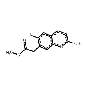 COC(=O)Cc1cc2nc(C)ccc2cc1F